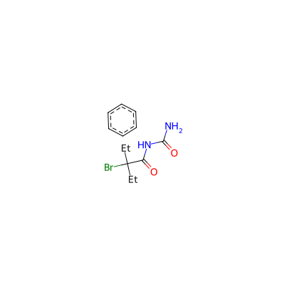 CCC(Br)(CC)C(=O)NC(N)=O.c1ccccc1